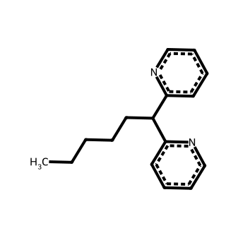 CCCCCC(c1ccccn1)c1ccccn1